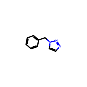 [c]1cnnn1Cc1ccccc1